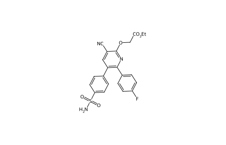 CCOC(=O)COc1nc(-c2ccc(F)cc2)c(-c2ccc(S(N)(=O)=O)cc2)cc1C#N